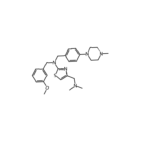 COc1cccc(CN(Cc2ccc(N3CCN(C)CC3)cc2)c2nc(CN(C)C)cs2)c1